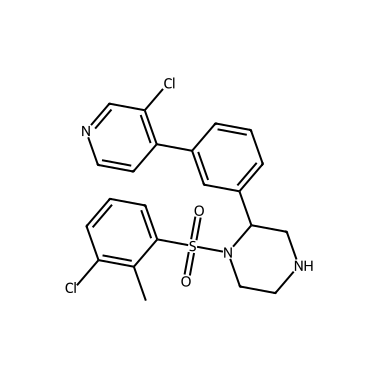 Cc1c(Cl)cccc1S(=O)(=O)N1CCNCC1c1cccc(-c2ccncc2Cl)c1